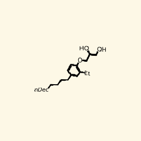 CCCCCCCCCCCCCCc1ccc(OCC(O)CO)c(CC)c1